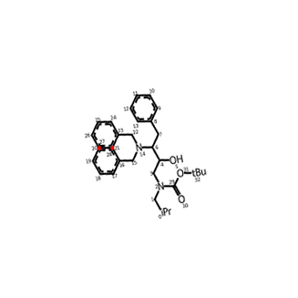 CC(C)CN(CC(O)C(Cc1ccccc1)N(Cc1ccccc1)Cc1ccccc1)C(=O)OC(C)(C)C